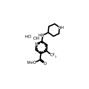 COC(=O)c1cnc(NC2CCNCC2)cc1C(F)(F)F.Cl.Cl